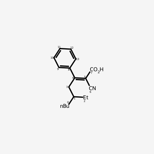 CCCCC(CC)CC(=C(C#N)C(=O)O)c1ccccc1